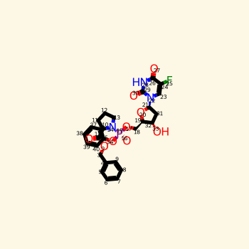 O=C(OCc1ccccc1)C1CCCN1P(=O)(OC[C@H]1O[C@@H](n2cc(F)c(=O)[nH]c2=O)C[C@H]1O)Oc1ccccc1